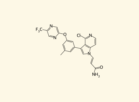 Cc1cc(Oc2cnc(C(F)(F)F)cn2)cc(-c2cn(C=CC(N)=O)c3ccnc(Cl)c23)c1